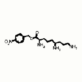 NCCCC(N)CCCC(N)C(=O)OCc1ccc([N+](=O)[O-])cc1